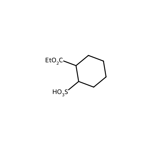 CCOC(=O)C1CCCCC1S(=O)(=O)O